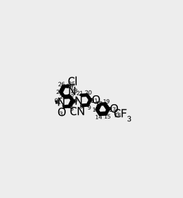 Cn1c(=O)c(C#N)c(N2CCC(Oc3cccc(OC(F)(F)F)c3)CC2)c2nc(Cl)ccc21